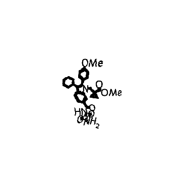 COC(=O)C1(Cn2c(-c3ccc(OC)cc3)c(C3CCCCC3)c3ccc(C(=O)NS(N)(=O)=O)cc32)CC1